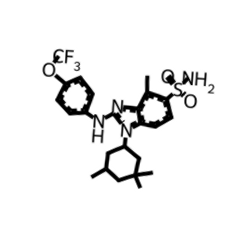 Cc1c(S(N)(=O)=O)ccc2c1nc(Nc1ccc(OC(F)(F)F)cc1)n2C1CC(C)CC(C)(C)C1